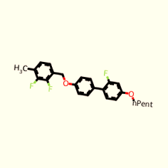 CCCCCOc1ccc(-c2ccc(OCc3ccc(C)c(F)c3F)cc2)c(F)c1